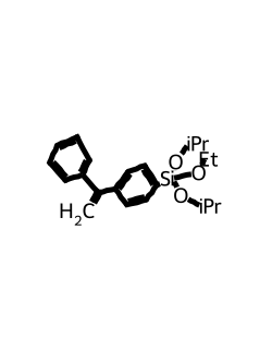 C=C(c1ccccc1)c1ccc([Si](OCC)(OC(C)C)OC(C)C)cc1